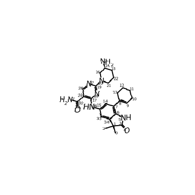 CC1(C)C(=O)Nc2c(C3=CCCCC3)cc(Nc3nc(N4CCC[C@H](N)C4)ncc3C(N)=O)cc21